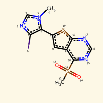 Cn1cnc(I)c1-c1cc2c(S(C)(=O)=O)ncnc2s1